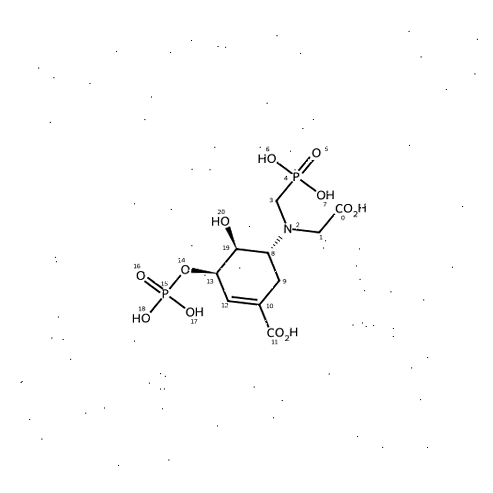 O=C(O)CN(CP(=O)(O)O)[C@@H]1CC(C(=O)O)=C[C@@H](OP(=O)(O)O)[C@H]1O